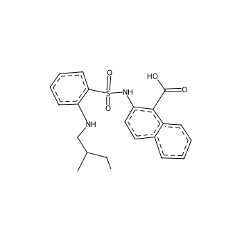 CCC(C)CNc1ccccc1S(=O)(=O)Nc1ccc2ccccc2c1C(=O)O